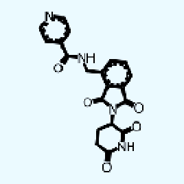 O=C1CCC(N2C(=O)c3cccc(CNC(=O)c4ccncc4)c3C2=O)C(=O)N1